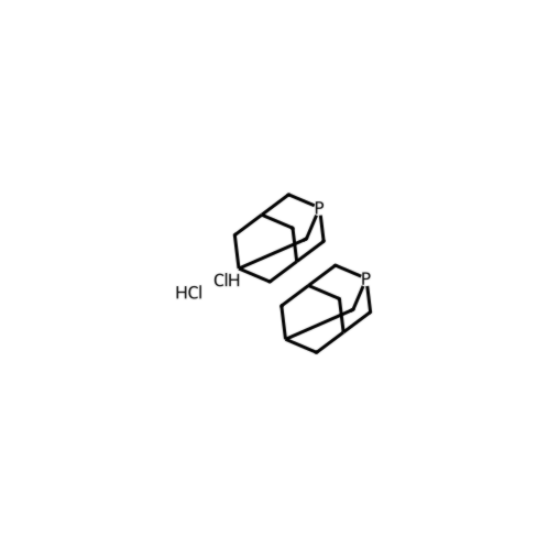 C1C2CC3CC1CP(C2)C3.C1C2CC3CC1CP(C2)C3.Cl.Cl